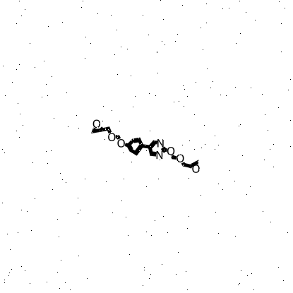 c1cc(-c2cnc(OCOCC3CO3)nc2)ccc1OCOCC1CO1